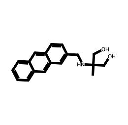 CC(CO)(CO)NCc1ccc2cc3ccccc3cc2c1